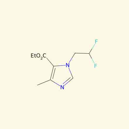 CCOC(=O)c1c(C)ncn1CC(F)F